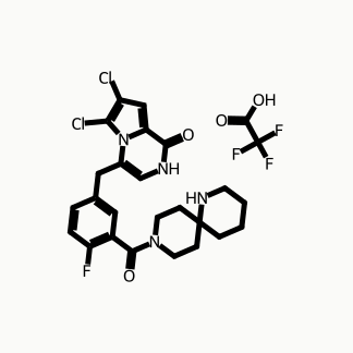 O=C(O)C(F)(F)F.O=C(c1cc(Cc2c[nH]c(=O)c3cc(Cl)c(Cl)n23)ccc1F)N1CCC2(CCCCN2)CC1